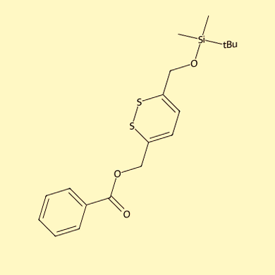 CC(C)(C)[Si](C)(C)OCC1=CC=C(COC(=O)c2ccccc2)SS1